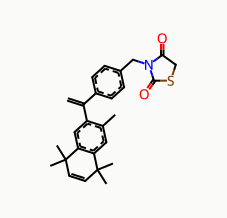 C=C(c1ccc(CN2C(=O)CSC2=O)cc1)c1cc2c(cc1C)C(C)(C)C=CC2(C)C